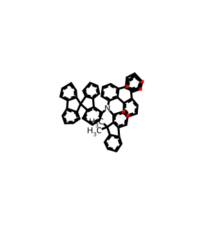 CC1(C)c2ccccc2-c2cccc(N(c3cccc(-c4ccccc4)c3-c3ccccc3-c3ccccc3)c3cccc4c3-c3ccccc3C43c4ccccc4-c4ccccc43)c21